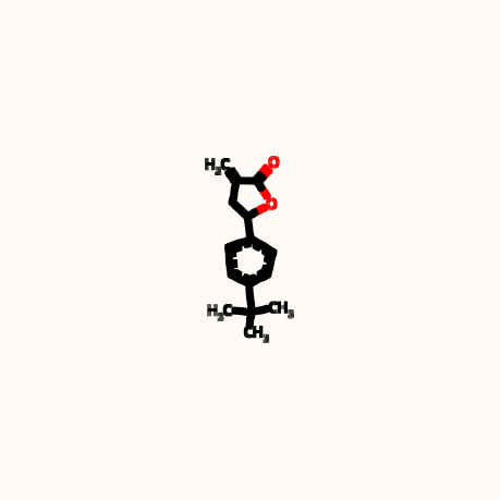 C=C1CC(c2ccc(C(C)(C)C)cc2)OC1=O